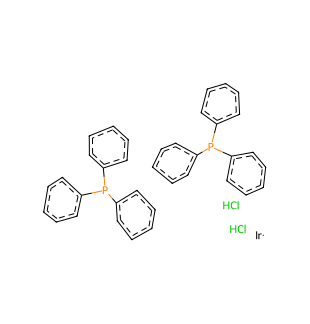 Cl.Cl.[Ir].c1ccc(P(c2ccccc2)c2ccccc2)cc1.c1ccc(P(c2ccccc2)c2ccccc2)cc1